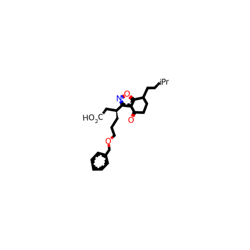 CC(C)CCC1CCC(=O)c2c([C@@H](CCCOCc3ccccc3)CC(=O)O)noc21